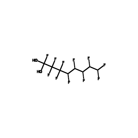 OC(O)(F)C(F)(F)C(F)(F)C(F)C(F)C(F)C(F)C(F)F